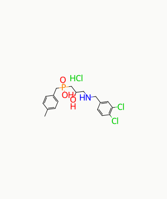 Cc1ccc(CP(=O)(O)C[C@H](O)CNCc2ccc(Cl)c(Cl)c2)cc1.Cl